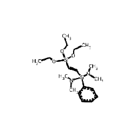 CCO[Si](C=C[Si](c1ccccc1)(N(C)C)N(C)C)(OCC)OCC